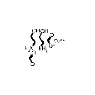 NCCO.NCCO.O=C[O-].O=C[O-].[Cu+2]